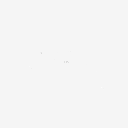 CC(Cc1cn(-c2ccc(C(=O)Nc3ccc(Oc4ccc(N)cc4)cc3)cc2)c2ccccc12)N1CCCC1